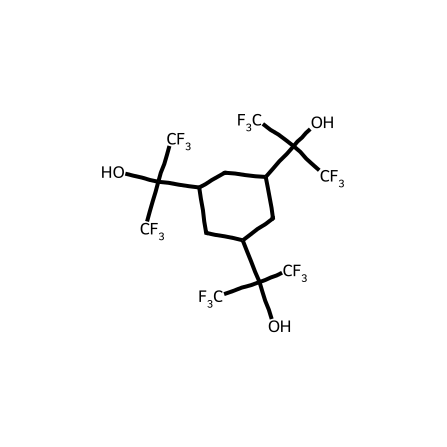 OC(C1CC(C(O)(C(F)(F)F)C(F)(F)F)CC(C(O)(C(F)(F)F)C(F)(F)F)C1)(C(F)(F)F)C(F)(F)F